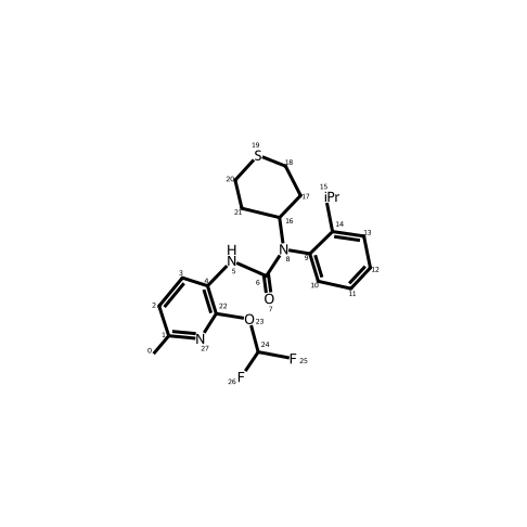 Cc1ccc(NC(=O)N(c2ccccc2C(C)C)C2CCSCC2)c(OC(F)F)n1